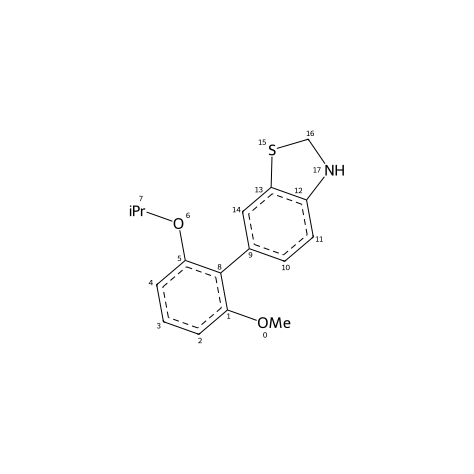 COc1cccc(OC(C)C)c1-c1ccc2c(c1)SCN2